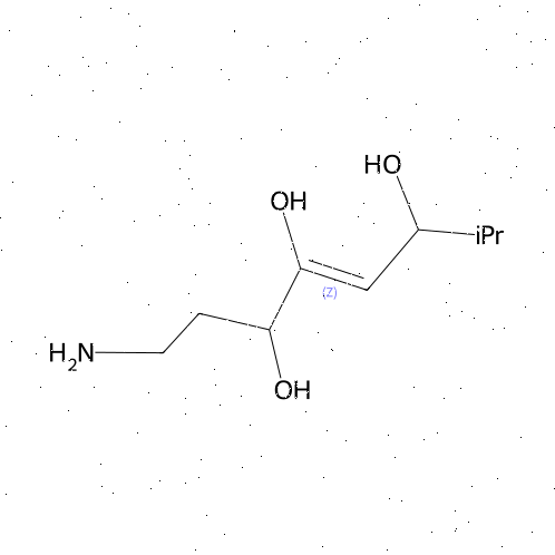 CC(C)C(O)/C=C(\O)C(O)CCN